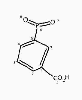 O=C(O)c1cccc(P(=O)=O)c1